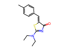 CCN(CC)C1=NC(=O)C(=Cc2ccc(C)cc2)S1